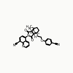 C[C@@]12CC[C@@](CCOc3ccc(C#N)cc3)(O1)[C@H]1C(=O)N(c3ccc(C#N)c4ncccc34)C(=O)[C@H]12